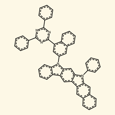 c1ccc(-c2nc(-c3ccccc3)nc(-c3cc(-n4c5ccccc5c5cc6c7cc8ccccc8cc7n(-c7ccccc7)c6cc54)cc4ccccc34)n2)cc1